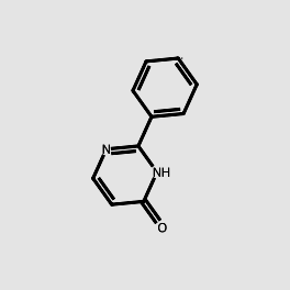 O=c1ccnc(-c2cc[c]cc2)[nH]1